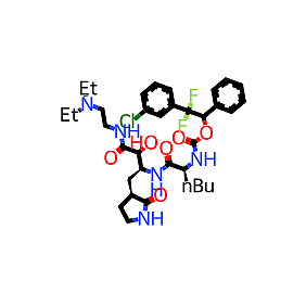 CCCC[C@H](NC(=O)OC(c1ccccc1)C(F)(F)c1cccc(Cl)c1)C(=O)N[C@@H](C[C@@H]1CCNC1=O)C(O)C(=O)NCCN(CC)CC